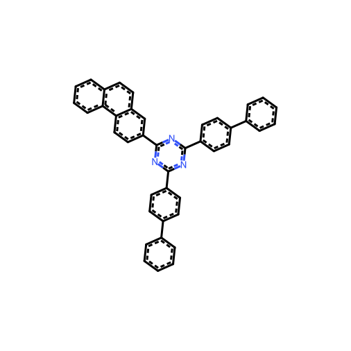 c1ccc(-c2ccc(-c3nc(-c4ccc(-c5ccccc5)cc4)nc(-c4ccc5c(ccc6ccccc65)c4)n3)cc2)cc1